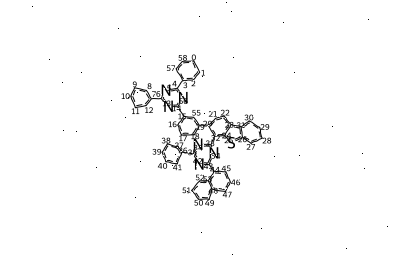 c1ccc(-c2nc(-c3ccccc3)nc(-c3cccc(-c4ccc5c(sc6ccccc65)c4-c4nc(-c5ccccc5)nc(-c5cccc6ccccc56)n4)c3)n2)cc1